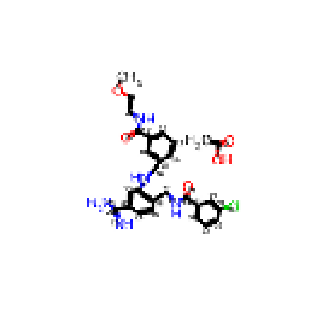 CC(=O)O.COCCNC(=O)c1cccc(CNc2cc(C(=N)N)ccc2CNC(=O)c2cccc(Cl)c2)c1